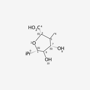 CC(C)[C@@H]1O[C@H](C(=O)O)C(C)[C@H](O)C1O